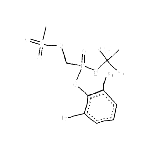 CCC(C)(NP(=O)(COS(C)(=O)=O)Oc1c(C(C)C)cccc1C(C)C)C(=O)O